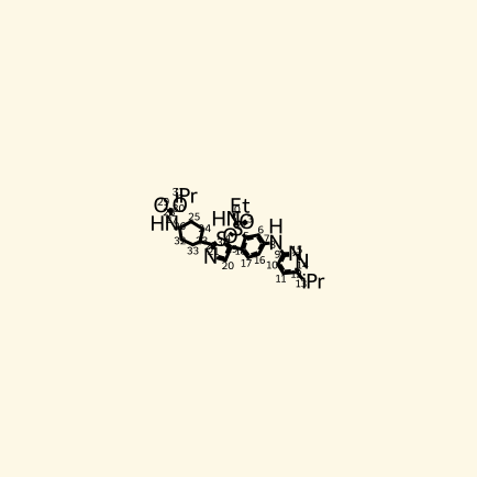 CCNS(=O)(=O)c1cc(Nc2ccc(C(C)C)nn2)ccc1-c1cnc(C2CCC(NC(=O)OC(C)C)CC2)s1